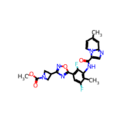 COC(=O)N1CC(c2noc(-c3cc(F)c(C)c(NC(=O)c4cnc5cc(C)ccn45)c3F)n2)C1